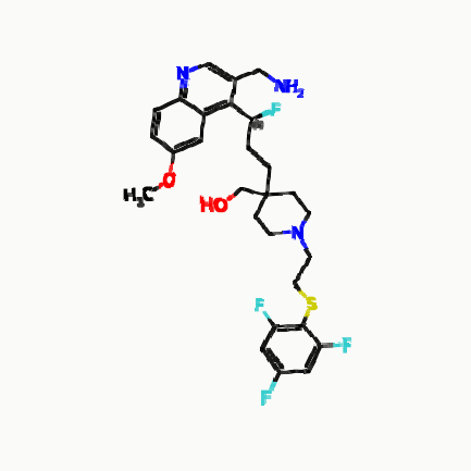 COc1ccc2ncc(CN)c([C@@H](F)CCC3(CO)CCN(CCSc4c(F)cc(F)cc4F)CC3)c2c1